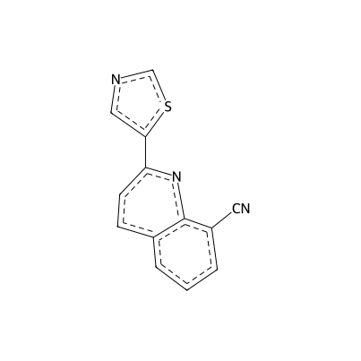 N#Cc1cccc2ccc(-c3cncs3)nc12